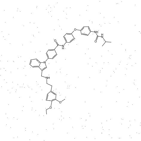 CCOc1ccc(CCNCc2cn(-c3ccc(C(=O)Nc4ccc(Oc5ccc(NC(=O)NC(C)C)cc5)cc4)cc3)c3ccccc23)cc1OC